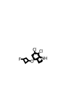 FC1CC(Oc2cc(Cl)c(Cl)c3[nH]ccc23)C1